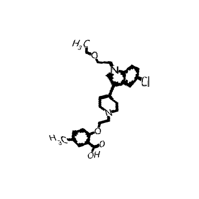 CCOCCn1cc(C2CCN(CCOc3ccc(C)cc3C(=O)O)CC2)c2cc(Cl)ccc21